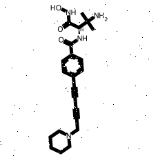 CC(C)(N)[C@H](NC(=O)c1ccc(C#CC#CCN2CCCCC2)cc1)C(=O)NO